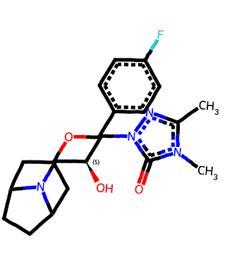 Cc1nn(C[C@@H](O)CN2C3CCC2CC(OCc2ccc(F)cc2)C3)c(=O)n1C